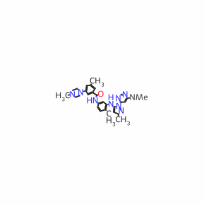 CNc1cc(-n2nc(C)cc2Nc2cc(NC(=O)c3cc(C)cc(N4CCN(C)CC4)c3)ccc2C)ncn1